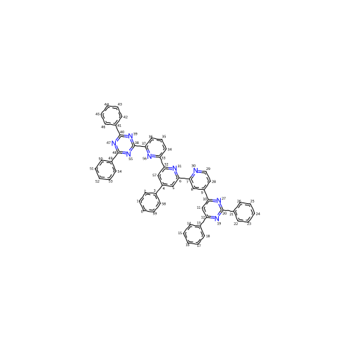 c1ccc(-c2cc(-c3cc(-c4cc(-c5ccccc5)nc(-c5ccccc5)n4)ccn3)nc(-c3cccc(-c4nc(-c5ccccc5)nc(-c5ccccc5)n4)n3)c2)cc1